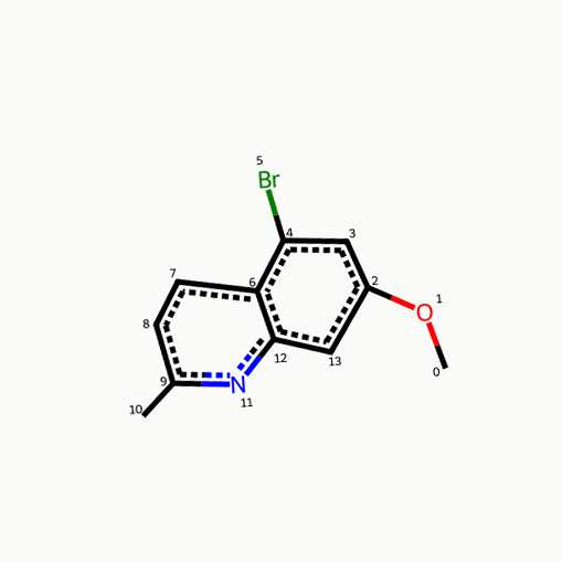 COc1cc(Br)c2ccc(C)nc2c1